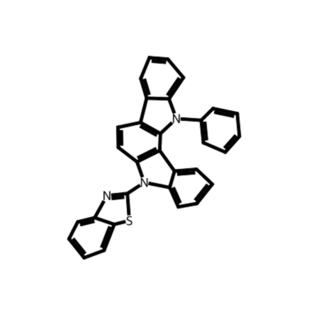 c1ccc(-n2c3ccccc3c3ccc4c(c5ccccc5n4-c4nc5ccccc5s4)c32)cc1